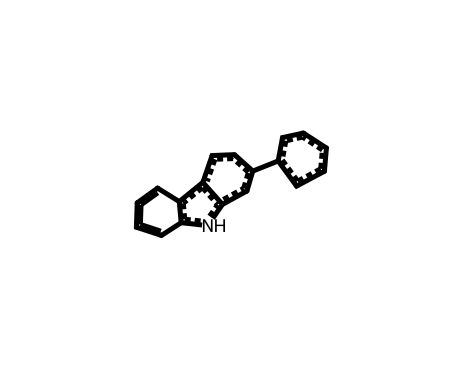 C1=C=Cc2c([nH]c3cc(-c4ccccc4)ccc23)C=1